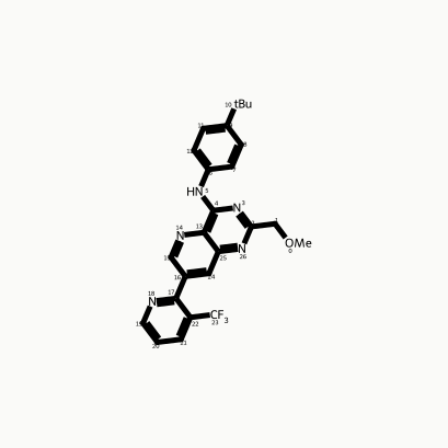 COCc1nc(Nc2ccc(C(C)(C)C)cc2)c2ncc(-c3ncccc3C(F)(F)F)cc2n1